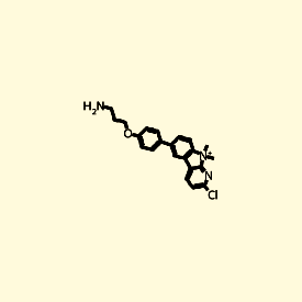 C[N+]1(C)c2ccc(-c3ccc(OCCCN)cc3)cc2-c2ccc(Cl)nc21